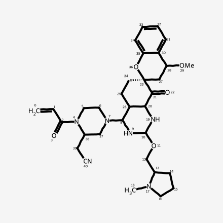 C=CC(=O)N1CCN(C2NC(OCC3CCCN3C)NC3C(=O)[C@]4(CCC32)CC(OC)c2ccccc2O4)CC1CC#N